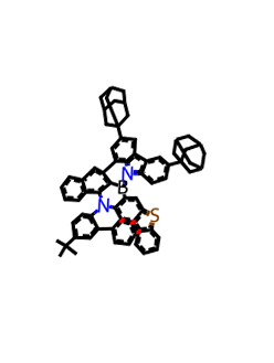 CC(C)(C)c1ccc(N2c3cc4c(cc3B3c5c(cc6ccccc6c52)-c2cc(C56CC7CC(CC(C7)C5)C6)cc5c6cc(C78CC9CC(CC(C9)C7)C8)ccc6n3c25)sc2ccccc24)c(-c2ccccc2)c1